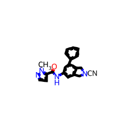 Cn1nccc1C(=O)Nc1cc2c(c(-c3ccccc3)c1)CN(C#N)C2